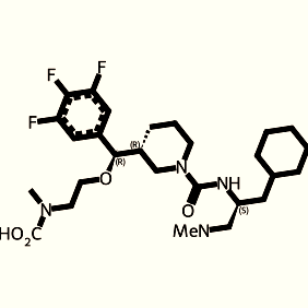 CNC[C@H](CC1CCCCC1)NC(=O)N1CCC[C@@H]([C@@H](OCCN(C)C(=O)O)c2cc(F)c(F)c(F)c2)C1